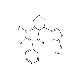 CSc1ncc(C2CCCc3n2c(=O)c(-c2ccccc2)c([O-])[n+]3C)s1